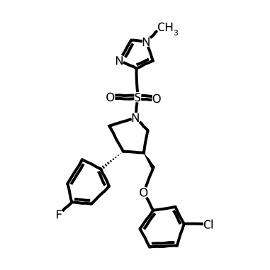 Cn1cnc(S(=O)(=O)N2C[C@@H](COc3cccc(Cl)c3)[C@H](c3ccc(F)cc3)C2)c1